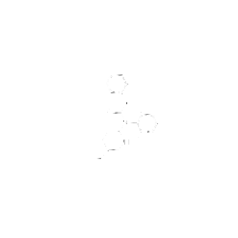 CCN1CCC(N(C(=O)Cc2ccccc2)c2c(C)cccc2C)CC1